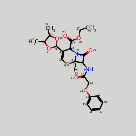 CC1OC(C2=CS[C@H]3C(NC(=O)COc4ccccc4)C(=O)N3C2C(=O)OCC(Cl)(Cl)Cl)OC1C